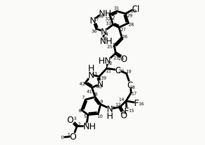 COC(=O)Nc1ccc2c(c1)NC(=O)C(F)(F)CCCC[C@H](NC(=O)/C=C/c1cc(Cl)ccc1N(N)/C=N\N)c1nc-2c[nH]1